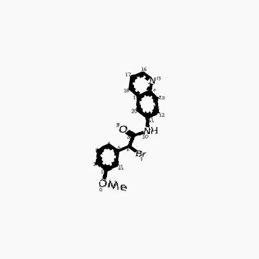 COc1cccc(C(Br)C(=O)Nc2ccc3ncccc3c2)c1